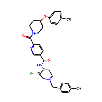 N#Cc1ccc(CN2CC[C@@H](NC(=O)c3ccc(C(=O)N4CCC(Oc5ccc(C#N)cc5)CC4)nc3)[C@@H](F)C2)cc1